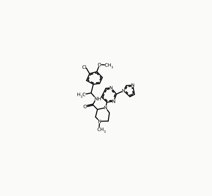 COc1ccc(C(C)NC(=O)C2CN(C)CCN2c2ccnc(-n3ccnc3)n2)cc1Cl